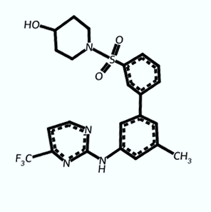 Cc1cc(Nc2nccc(C(F)(F)F)n2)cc(-c2cccc(S(=O)(=O)N3CCC(O)CC3)c2)c1